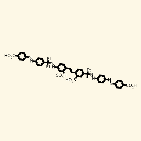 CCC(C)(N=Nc1ccc(N=Nc2ccc(C(=O)O)cc2)cc1)c1ccc(C=Cc2ccc(N=NC(CC)(CC)c3ccc(N=Nc4ccc(C(=O)O)cc4)cc3)cc2S(=O)(=O)O)c(S(=O)(=O)O)c1